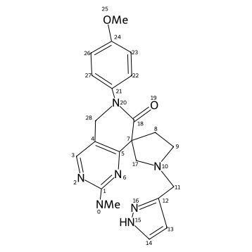 CNc1ncc2c(n1)C1(CCN(Cc3cc[nH]n3)C1)C(=O)N(c1ccc(OC)cc1)C2